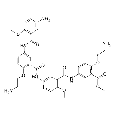 COC(=O)c1cc(NC(=O)c2cc(NC(=O)c3cc(NC(=O)c4cc(N)ccc4OC)ccc3OCCN)ccc2OC)ccc1OCCN